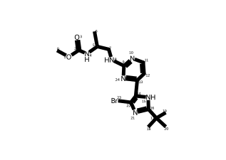 COC(=O)NC(C)CNc1nccc(-c2[nH]c(C(C)(C)C)nc2Br)n1